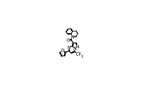 O=C(c1cnn2c(C(F)(F)F)cc(-c3ccco3)nc12)N1CCCc2ccccc21